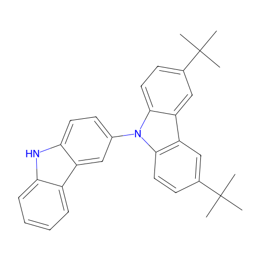 CC(C)(C)c1ccc2c(c1)c1cc(C(C)(C)C)ccc1n2-c1ccc2[nH]c3ccccc3c2c1